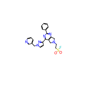 O=S(=O)(F)CCN1Cc2nc(-c3ccccc3)nc(-c3ccn(Cc4cccnc4)n3)c2C1